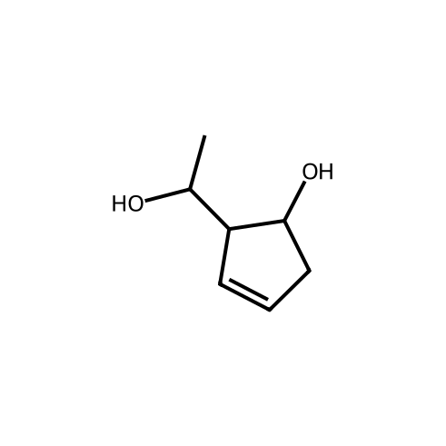 CC(O)C1C=CCC1O